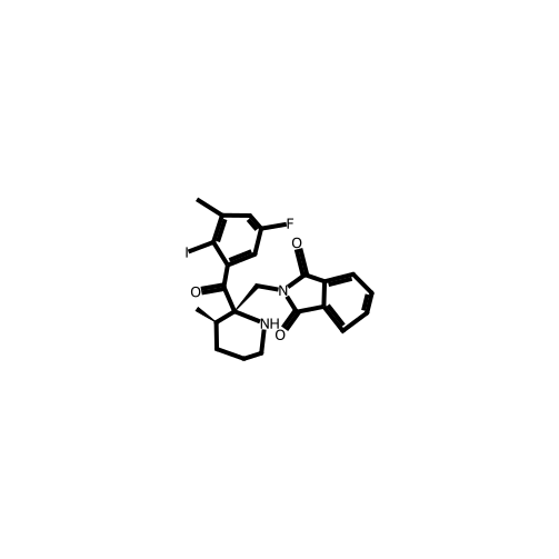 Cc1cc(F)cc(C(=O)[C@]2(CN3C(=O)c4ccccc4C3=O)NCCC[C@H]2C)c1I